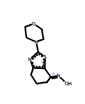 O/N=C1\CCCc2nc(N3CCOCC3)sc21